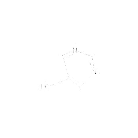 Cc1[c]ncn[c]1